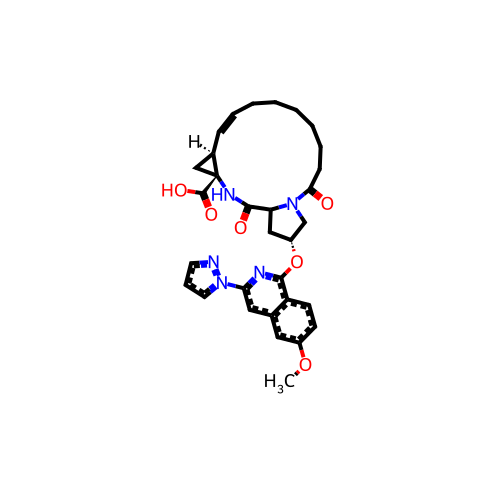 COc1ccc2c(O[C@@H]3CC4C(=O)N[C@]5(C(=O)O)C[C@H]5/C=C\CCCCCCC(=O)N4C3)nc(-n3cccn3)cc2c1